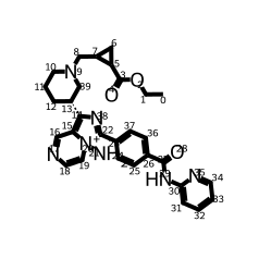 CCOC(=O)C1CC1CN1CCC[C@@H](C2=C3C=NC=C[N+]3(N)C(c3ccc(C(=O)Nc4ccccn4)cc3)=N2)C1